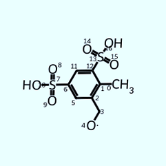 Cc1c(C[O])cc(S(=O)(=O)O)cc1S(=O)(=O)O